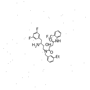 CCc1cccc(CN(C[C@@H](O)[C@@H](N)Cc2cc(F)cc(F)c2)C(=O)CCC(=O)Nc2ccccc2C(F)(F)F)c1